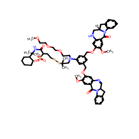 COCCOCCOCCN(CC(C)(C)SSCCC(C(=O)NC(C)(C)C1CCCCC1)S(=O)(=O)O)c1cc(COc2cc3c(cc2OC)C(=O)N2c4ccccc4CC2C=N3)cc(COc2cc3c(cc2OC)C(=O)N2c4ccccc4C[C@H]2CN3)c1